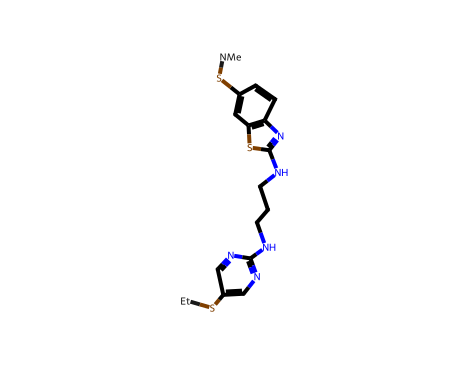 CCSc1cnc(NCCCNc2nc3ccc(SNC)cc3s2)nc1